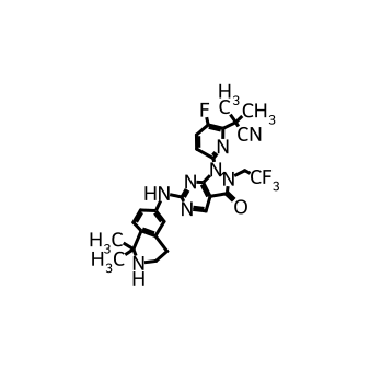 CC(C)(C#N)c1nc(-n2c3nc(Nc4ccc5c(c4)CCNC5(C)C)ncc3c(=O)n2CC(F)(F)F)ccc1F